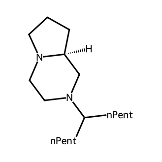 CCCCCC(CCCCC)N1CCN2CCC[C@H]2C1